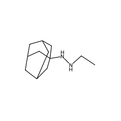 CCNNC12CC3CC(CC(C3)C1)C2